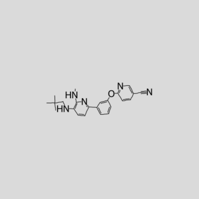 CNc1nc(-c2cccc(Oc3ccc(C#N)cn3)c2)ccc1NCC(C)(C)C